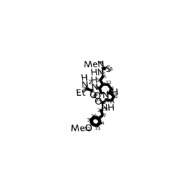 CC[C@H](N)C(=O)NC1C(=O)N2[C@@H](CCC1CCNC(=S)NC)CC[C@H]2C(=O)NCCc1ccc(OC)cc1